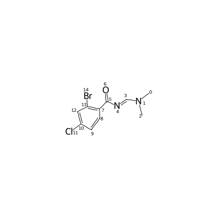 CN(C)/C=N/C(=O)c1ccc(Cl)cc1Br